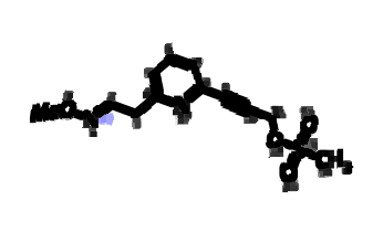 CO/N=C/Cc1cccc(C#CCOS(C)(=O)=O)n1